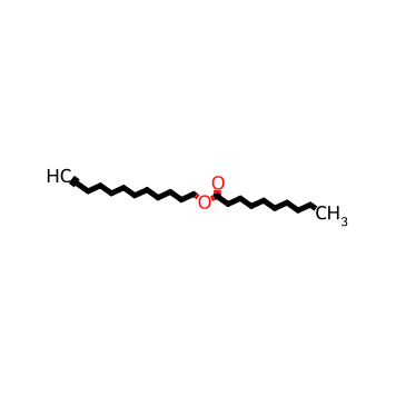 C#CCCCCCCCCCCOC(=O)CCCCCCCCC